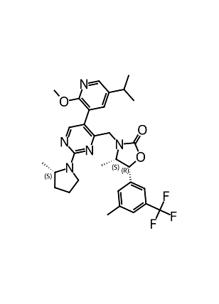 COc1ncc(C(C)C)cc1-c1cnc(N2CCC[C@@H]2C)nc1CN1C(=O)O[C@H](c2cc(C)cc(C(F)(F)F)c2)[C@@H]1C